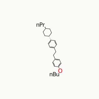 CCCCOc1ccc(CCc2ccc([C@H]3CC[C@H](CCC)CC3)cc2)cc1